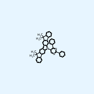 CC1(C)c2ccccc2-c2cc3c(cc21)c1cc2c(cc1n3-c1cnc(-c3ccccc3)nc1-c1ccccc1)-c1ccccc1C2(C)C